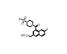 CCS(=O)(=O)N1CCN(C(=O)c2cc(CC(=O)O)cc3ccc(F)cc23)CC1